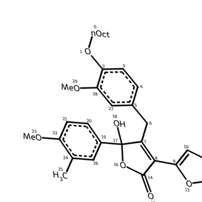 CCCCCCCCOc1ccc(CC2=C(C3=COCO3)C(=O)OC2(O)c2ccc(OC)c(C)c2)cc1OC